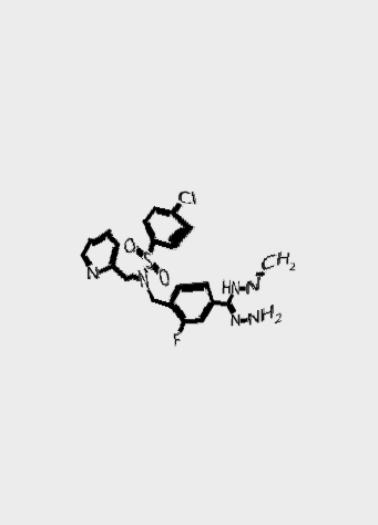 C=NN/C(=N\N)c1ccc(CN(Cc2ccccn2)S(=O)(=O)c2ccc(Cl)cc2)c(F)c1